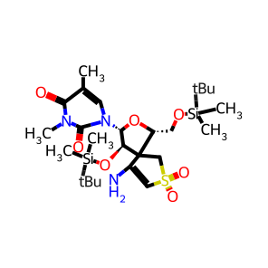 Cc1cn([C@@H]2O[C@H](CO[Si](C)(C)C(C)(C)C)C3(CS(=O)(=O)C=C3N)[C@H]2O[Si](C)(C)C(C)(C)C)c(=O)n(C)c1=O